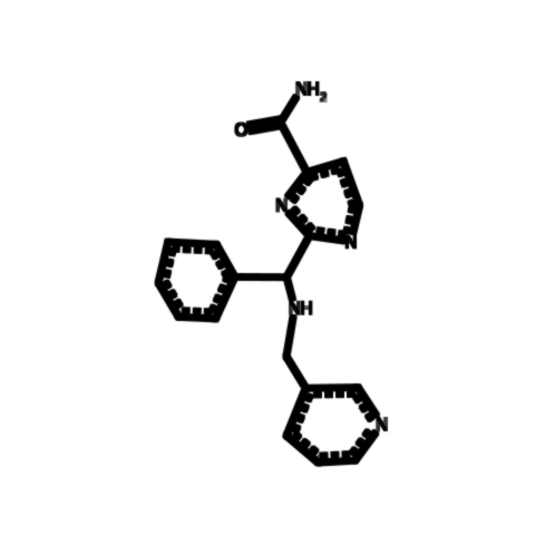 NC(=O)c1ccnc(C(NCc2cccnc2)c2ccccc2)n1